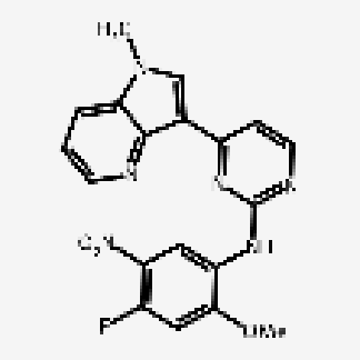 COc1cc(F)c([N+](=O)[O-])cc1Nc1nccc(-c2cn(C)c3cccnc23)n1